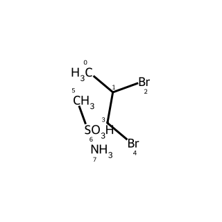 CC(Br)CBr.CS(=O)(=O)O.N